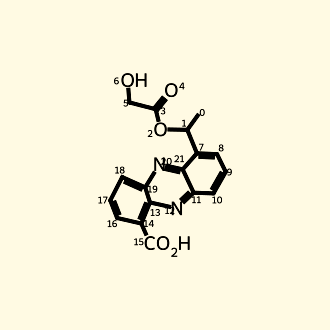 CC(OC(=O)CO)c1cccc2nc3c(C(=O)O)cccc3nc12